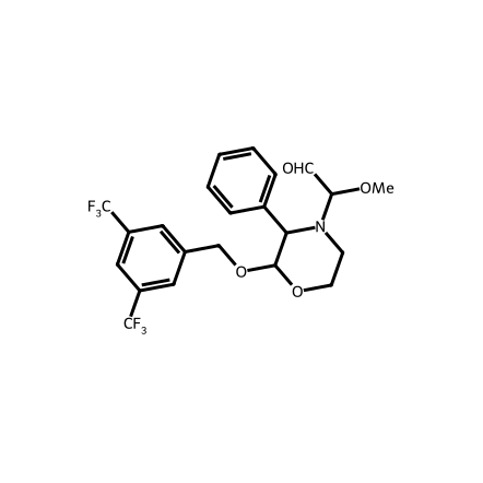 COC(C=O)N1CCOC(OCc2cc(C(F)(F)F)cc(C(F)(F)F)c2)C1c1ccccc1